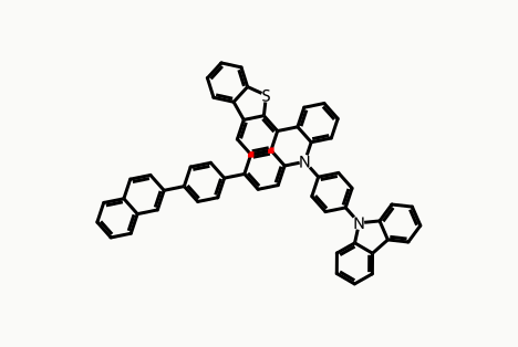 c1ccc(N(c2ccc(-c3ccc(-c4ccc5ccccc5c4)cc3)cc2)c2ccc(-n3c4ccccc4c4ccccc43)cc2)c(-c2cccc3c2sc2ccccc23)c1